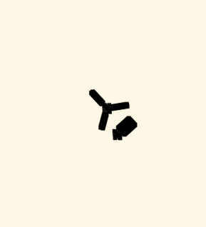 C#N.CN(C)C